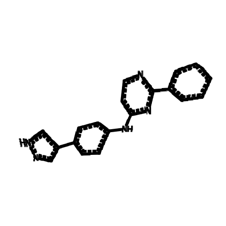 c1ccc(-c2nccc(Nc3ccc(-c4cn[nH]c4)cc3)n2)cc1